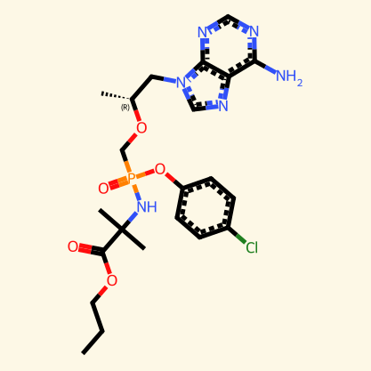 CCCOC(=O)C(C)(C)NP(=O)(CO[C@H](C)Cn1cnc2c(N)ncnc21)Oc1ccc(Cl)cc1